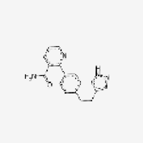 NC(=O)c1cccnc1-c1ccc2c(c1)-c1[nH]ncc1CC2